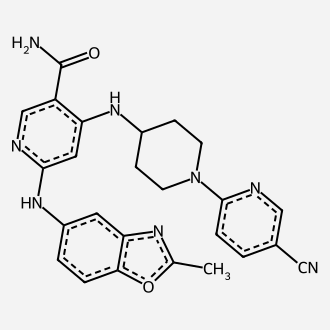 Cc1nc2cc(Nc3cc(NC4CCN(c5ccc(C#N)cn5)CC4)c(C(N)=O)cn3)ccc2o1